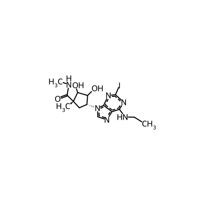 CCNc1nc(I)nc2c1ncn2[C@@H]1C[C@](C)(C(=O)NC)C(O)C1O